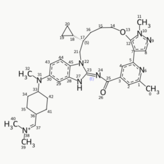 Cc1cc2cc(n1)-c1cnn(C)c1OCCC[C@@H](C1CC1)CN1/C(=N/C2=O)Nc2cc(N(C)C3CCC(C=[N+](C)C)CC3)ccc21